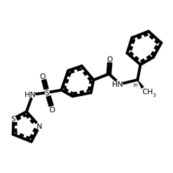 C[C@@H](NC(=O)c1ccc(S(=O)(=O)Nc2nccs2)cc1)c1ccccc1